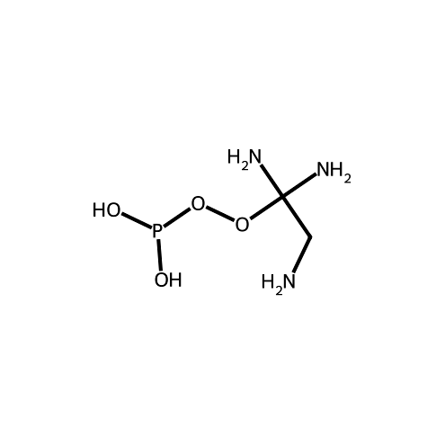 NCC(N)(N)OOP(O)O